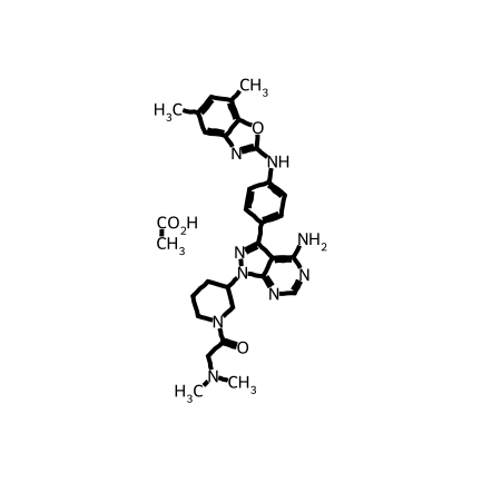 CC(=O)O.Cc1cc(C)c2oc(Nc3ccc(-c4nn(C5CCCN(C(=O)CN(C)C)C5)c5ncnc(N)c45)cc3)nc2c1